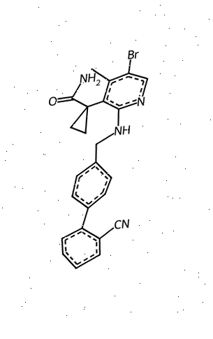 Cc1c(Br)cnc(NCc2ccc(-c3ccccc3C#N)cc2)c1C1(C(N)=O)CC1